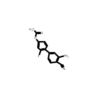 CC(=O)Oc1ccc(-c2ccc(C#N)c(P)c2)c(F)c1